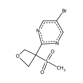 CS(=O)(=O)C1(c2ncc(Br)cn2)COC1